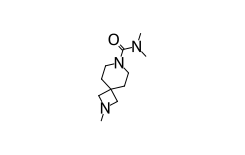 CN1CC2(CCN(C(=O)N(C)C)CC2)C1